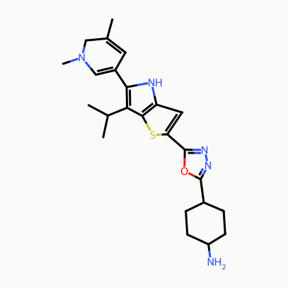 CC1=CC(c2[nH]c3cc(-c4nnc(C5CCC(N)CC5)o4)sc3c2C(C)C)=CN(C)C1